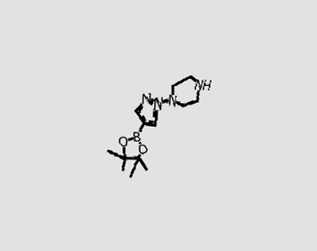 CC1(C)OB(c2cnn(N3CCNCC3)c2)OC1(C)C